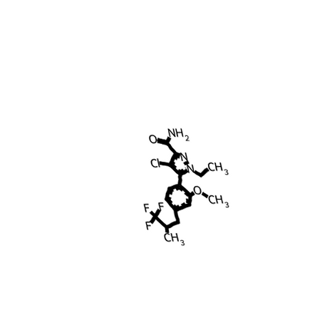 CCn1nc(C(N)=O)c(Cl)c1-c1ccc(CC(C)C(F)(F)F)cc1OC